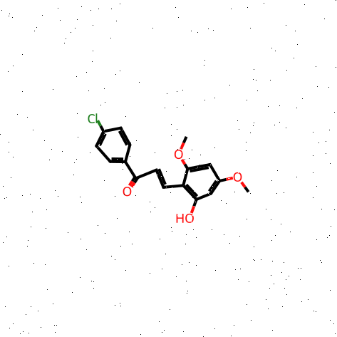 COc1cc(O)c(C=CC(=O)c2ccc(Cl)cc2)c(OC)c1